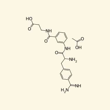 CC(=O)O.N=C(N)c1ccc(CC(N)C(=O)Nc2cccc(C(=O)NCCC(=O)O)c2)cc1